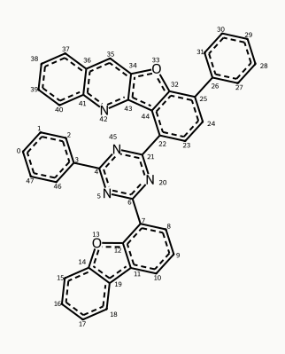 c1ccc(-c2nc(-c3cccc4c3oc3ccccc34)nc(-c3ccc(-c4ccccc4)c4oc5cc6ccccc6nc5c34)n2)cc1